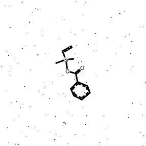 C=C[Si](C)(C)OC(=O)c1ccccc1